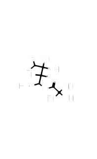 CCC(C)(C)C(=O)OC(C)C(F)(F)C(C)(O)C(F)F